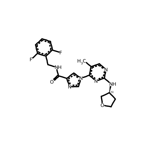 Cc1cnc(N[C@H]2CCOC2)nc1-n1cnc(C(=O)NCc2c(F)cccc2F)c1